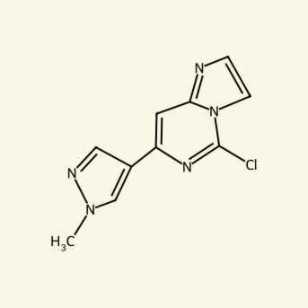 Cn1cc(-c2cc3nccn3c(Cl)n2)cn1